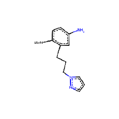 CNc1ccc(N)cc1CCCn1cccn1